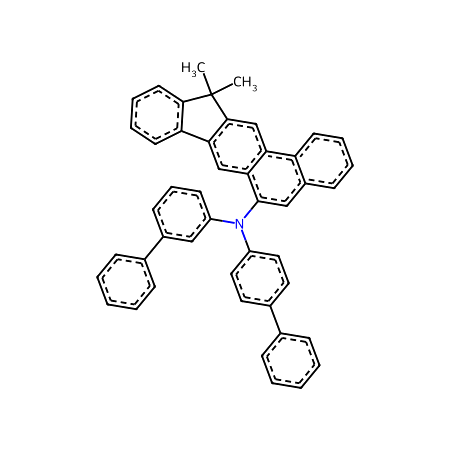 CC1(C)c2ccccc2-c2cc3c(N(c4ccc(-c5ccccc5)cc4)c4cccc(-c5ccccc5)c4)cc4ccccc4c3cc21